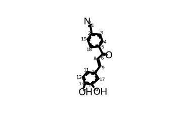 N#Cc1ccc(C(=O)/C=C/c2ccc(O)c(O)c2)cc1